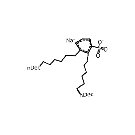 CCCCCCCCCCCCCCCCc1cccc(S(=O)(=O)[O-])c1CCCCCCCCCCCCCCCC.[Na+]